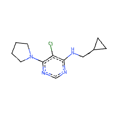 Clc1c(NCC2CC2)ncnc1N1CCCC1